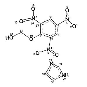 O=[N+]([O-])c1cc([N+](=O)[O-])c(OCO)c([N+](=O)[O-])c1.c1c[nH]cn1